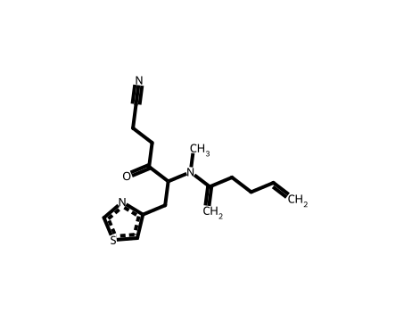 C=CCCC(=C)N(C)C(Cc1cscn1)C(=O)CCC#N